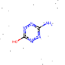 Nc1nnc(O)nn1